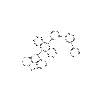 c1ccc(-c2cccc(-c3cccc(-c4c5ccccc5c(-c5cc6cccc7oc8cccc5c8c67)c5ccccc45)c3)c2)cc1